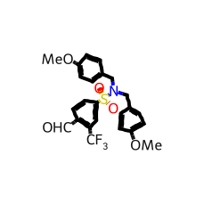 COc1ccc(CN(Cc2ccc(OC)cc2)S(=O)(=O)c2ccc(C=O)c(C(F)(F)F)c2)cc1